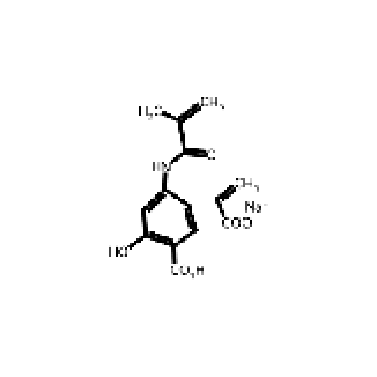 C=C(C)C(=O)Nc1ccc(C(=O)O)c(O)c1.C=CC(=O)[O-].[Na+]